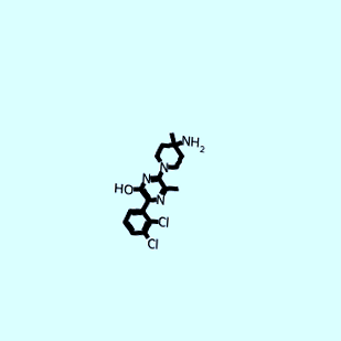 Cc1nc(-c2cccc(Cl)c2Cl)c(O)nc1N1CCC(C)(N)CC1